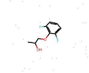 CC(O)COc1c(F)cccc1F